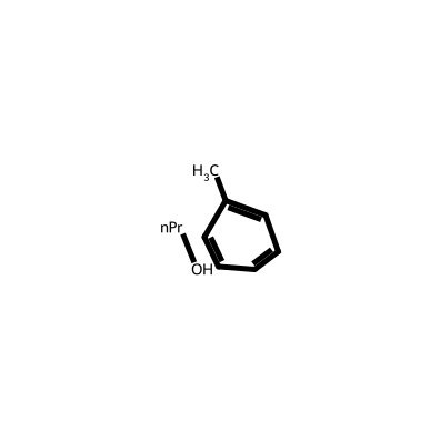 CCCO.Cc1ccccc1